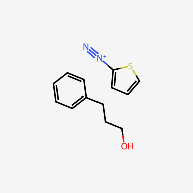 N#[N+]c1cccs1.OCCCc1ccccc1